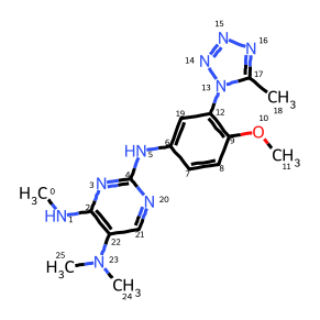 CNc1nc(Nc2ccc(OC)c(-n3nnnc3C)c2)ncc1N(C)C